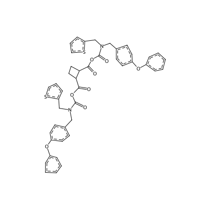 O=C(OC(=O)N(Cc1ccc(Oc2ccccc2)cc1)Cc1cccs1)C1CCC1C(=O)OC(=O)N(Cc1ccc(Oc2ccccc2)cc1)Cc1cccs1